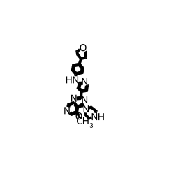 COc1cncc2nc(-c3ccnc(Nc4ccc(C5CCOCC5)cc4)c3)nc(N3CCNCC3)c12